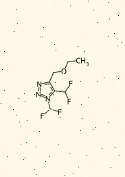 CCOCc1nnn(C(F)F)c1C(F)F